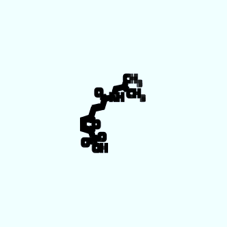 CC(C)CNC(=O)C=Cc1ccc(S(=O)(=O)O)o1